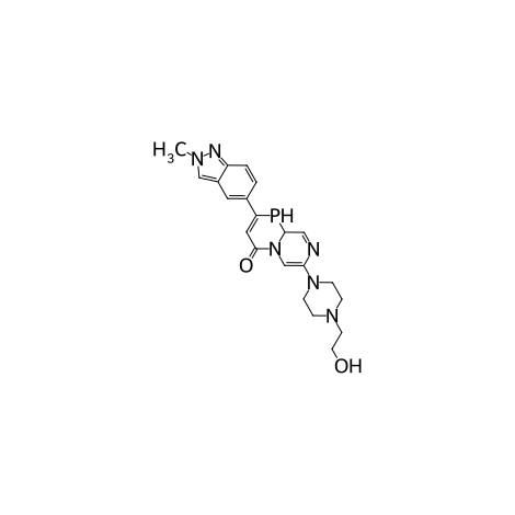 Cn1cc2cc(C3=CC(=O)N4C=C(N5CCN(CCO)CC5)N=CC4P3)ccc2n1